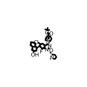 CN1CCC[C@H]1COc1nc(N2CC3CCCC2CN3C(=O)OC(C)(C)C)c2cc(Cl)c(-c3cc(O)cc4ccccc34)c(F)c2n1